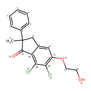 CC1(c2ccccc2)Cc2cc(OCCO)c(Cl)c(Cl)c2C1=O